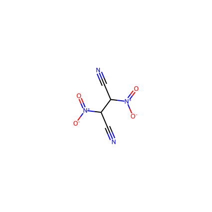 N#CC(C(C#N)[N+](=O)[O-])[N+](=O)[O-]